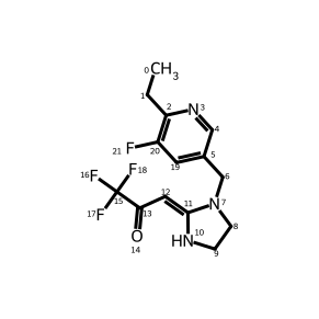 CCc1ncc(CN2CCN/C2=C\C(=O)C(F)(F)F)cc1F